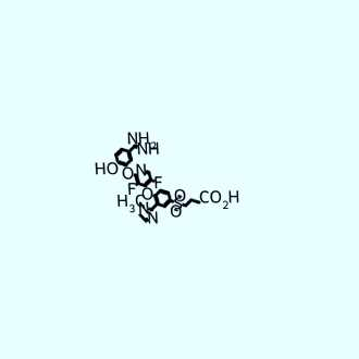 CN1CC=NC1c1cc(S(=O)(=O)CCCC(=O)O)ccc1Oc1c(F)cnc(Oc2cc(C(=N)N)ccc2O)c1F